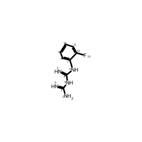 N=C(N)NC(=N)Nc1ccccc1F